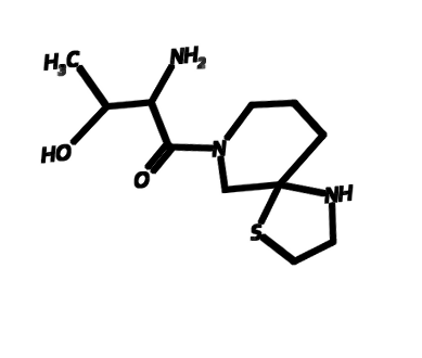 CC(O)C(N)C(=O)N1CCCC2(C1)NCCS2